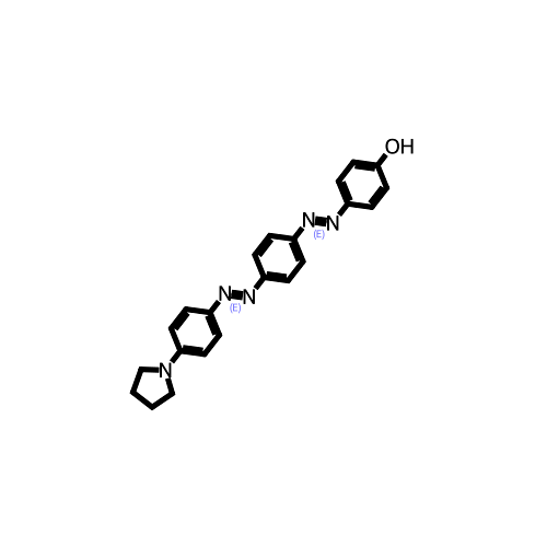 Oc1ccc(/N=N/c2ccc(/N=N/c3ccc(N4CCCC4)cc3)cc2)cc1